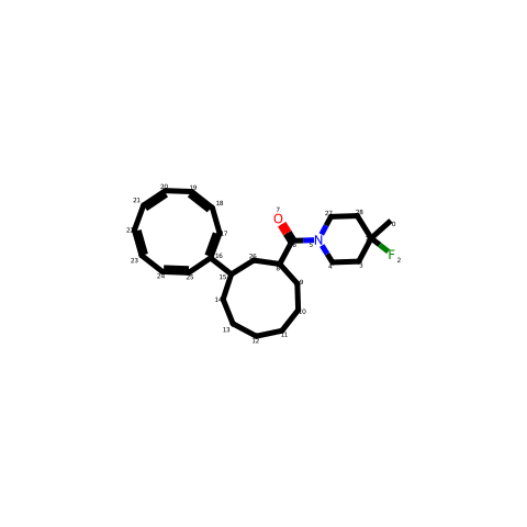 CC1(F)CCN(C(=O)C2CCCCCCC(c3ccccccccc3)C2)CC1